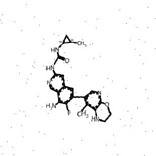 Cc1c(-c2cc3cc(NC(=O)N[C@H]4C[C@H]4C)ncc3c(N)c2F)cnc2c1NCCO2